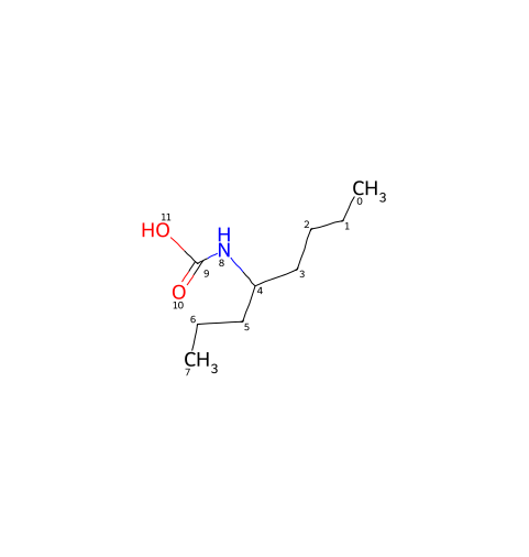 CCCCC(CCC)NC(=O)O